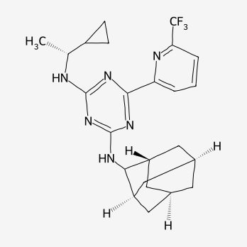 C[C@@H](Nc1nc(NC2[C@H]3C[C@H]4C[C@H](C3)C[C@H]2C4)nc(-c2cccc(C(F)(F)F)n2)n1)C1CC1